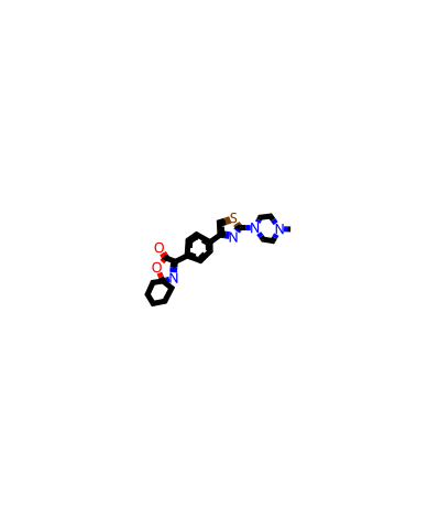 CN1CCN(c2nc(-c3ccc(C4=NC5(CCCCC5)OC4=O)cc3)cs2)CC1